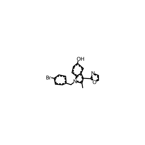 Cc1c(-c2ncco2)c2cc(O)ccc2n1Cc1ccc(Br)cc1